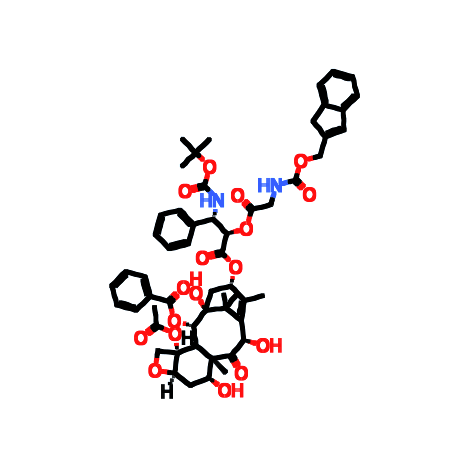 CC(=O)O[C@@]12CO[C@@H]1C[C@H](O)[C@@]1(C)C(=O)[C@H](O)C3=C(C)[C@@H](OC(=O)[C@H](OC(=O)CNC(=O)OCC4=Cc5ccccc5C4)[C@@H](NC(=O)OC(C)(C)C)c4ccccc4)C[C@@](O)([C@@H](OC(=O)c4ccccc4)[C@H]21)C3(C)C